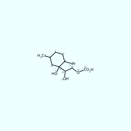 CC1CCC(C(C)C)C(O)(C(O)COC(=O)O)C1